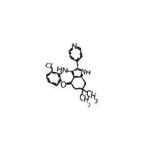 CC1(C)CC(=O)c2c([nH]c(-c3ccncc3)c2Nc2ccccc2Cl)C1